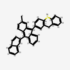 Cc1ccc2c(-c3ccc4ccccc4c3)c3ccccc3c(-c3ccc4c(c3)Cc3ccccc3S4)c2c1